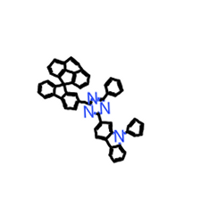 c1ccc(-c2nc(-c3ccc4c(c3)C3(c5ccccc5-4)c4cccc5ccc6cccc3c6c45)nc(-c3ccc4c5ccccc5n(-c5ccccc5)c4c3)n2)cc1